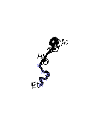 CC/C=C\C/C=C\C/C=C\C/C=C\C/C=C\C/C=C\CCC(=O)NCCCOC(=O)c1ccccc1OC(C)=O